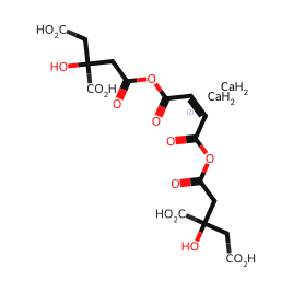 O=C(O)CC(O)(CC(=O)OC(=O)/C=C\C(=O)OC(=O)CC(O)(CC(=O)O)C(=O)O)C(=O)O.[CaH2].[CaH2]